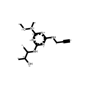 C#CCNc1nc(NC(I)C(C)O)nc(N(C)OC)n1